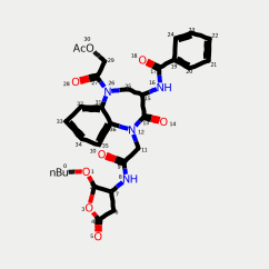 CCCCOC1OC(=O)CC1NC(=O)CN1C(=O)C(NC(=O)c2ccccc2)CN(C(=O)COC(C)=O)c2ccccc21